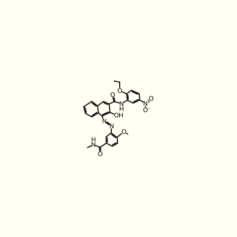 CCOc1ccc([N+](=O)[O-])cc1NC(=O)c1cc2ccccc2c(/N=N/c2cc(C(=O)NC)ccc2OC)c1O